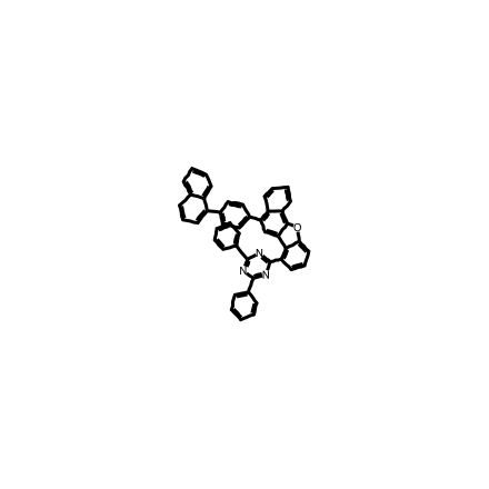 c1ccc(-c2nc(-c3ccccc3)nc(-c3cccc4oc5c6ccccc6c(-c6ccc(-c7cccc8ccccc78)cc6)cc5c34)n2)cc1